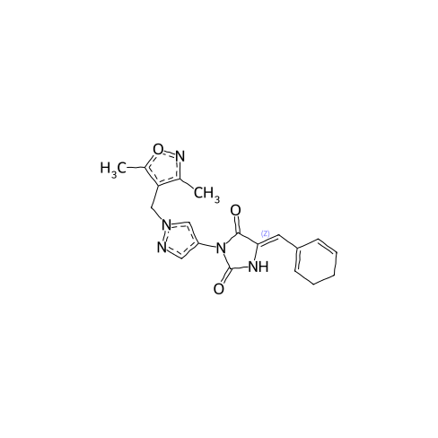 Cc1noc(C)c1Cn1cc(N2C(=O)N/C(=C\C3=CCCC=C3)C2=O)cn1